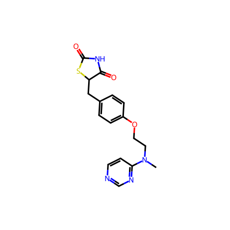 CN(CCOc1ccc(CC2SC(=O)NC2=O)cc1)c1ccncn1